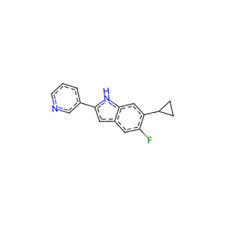 Fc1cc2cc(-c3cccnc3)[nH]c2cc1C1CC1